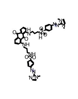 Cn1cc[n+](C)c1/N=N/c1ccc(S(=O)(=O)NCCCNc2cccc3c2C(=O)c2c(NCCCNS(=O)(=O)c4ccc(/N=N/c5n(C)cc[n+]5C)cc4)cccc2C3=O)cc1